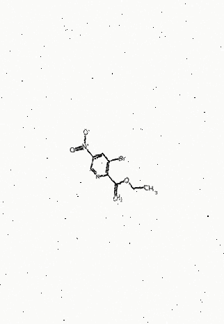 C=C(OCC)c1ncc([N+](=O)[O-])cc1Br